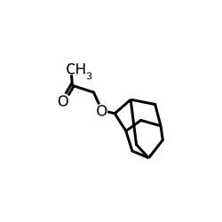 CC(=O)COC1C2CC3CC(C2)CC1C3